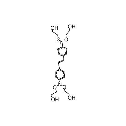 OCCON(OCCO)c1ccc(C=Cc2ccc(N(OCCO)OCCO)cc2)cc1